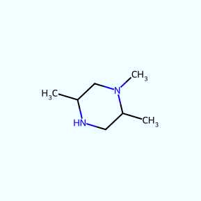 CC1CN(C)C(C)CN1